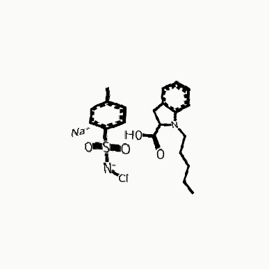 CCCCCN1c2ccccc2CC1C(=O)O.Cc1ccc(S(=O)(=O)[N-]Cl)cc1.[Na+]